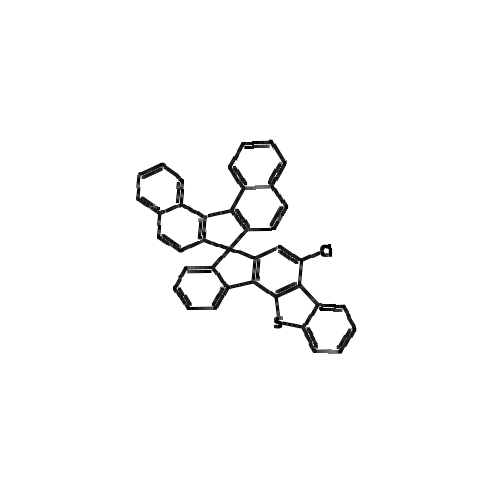 Clc1cc2c(c3sc4ccccc4c13)-c1ccccc1C21c2ccc3ccccc3c2-c2c1ccc1ccccc21